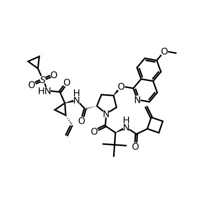 C=C[C@@H]1C[C@]1(NC(=O)[C@@H]1C[C@@H](Oc2nccc3cc(OC)ccc23)CN1C(=O)[C@@H](NC(=O)C1CCC1=C)C(C)(C)C)C(=O)NS(=O)(=O)C1CC1